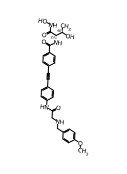 COc1ccc(CNCC(=O)Nc2ccc(C#Cc3ccc(C(=O)N[C@H](C(=O)NO)[C@@H](C)O)cc3)cc2)cc1